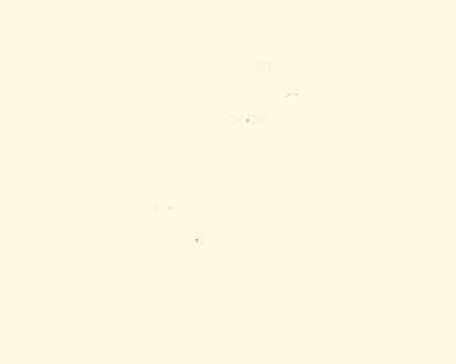 CCCCCCCC(CCCCCC)CN1[C@H](C)CC(OCCC(CCCC)CCCCC)C[C@@H]1C